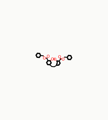 O=C(OCc1ccccc1)c1ccc2cc1OOc1cc(ccc1C(=O)OCc1ccccc1)CC2